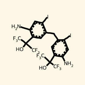 Nc1cc(I)c(Cc2cc(C(O)(C(F)(F)F)C(F)(F)F)c(N)cc2I)cc1C(O)(C(F)(F)F)C(F)(F)F